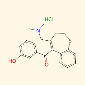 CN(C)CC1=C(C(=O)c2cccc(O)c2)c2ccccc2SCC1.Cl